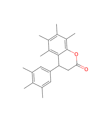 Cc1cc(C2CC(=O)Oc3c(C)c(C)c(C)c(C)c32)cc(C)c1C